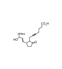 CCCCCCC(O)C=CC1CCC(=O)C1CC#CCCCC(=O)O